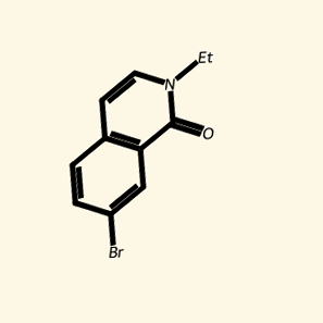 CCn1ccc2ccc(Br)cc2c1=O